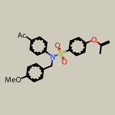 C=C(C)Oc1ccc(S(=O)(=O)N(Cc2ccc(OC)cc2)c2ccc(C(C)=O)cc2)cc1